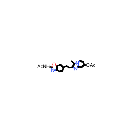 CC(=O)Nc1nc2ccc(CCc3nc4cc(OC(C)=O)ccn4c3C)cc2o1